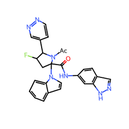 CC(=O)N1C(c2ccnnc2)C(F)CC1(C(=O)Nc1ccc2cn[nH]c2c1)n1ccc2ccccc21